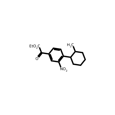 CCOC(=O)C(=O)c1ccc(C2CCCCC2C)c([N+](=O)[O-])c1